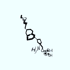 CCOCCC[C@@H]1CCc2cc([C@H]3CC[C@@](N)(COP(=O)(O)O)C3)ccc2C1